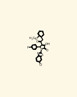 COc1ccccc1CC(=O)C1=C(O)C(=O)N(c2nc3ccc(Cl)cc3s2)C1c1ccc(F)cc1